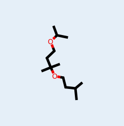 CC(C)CCOC(C)(C)CCOC(C)C